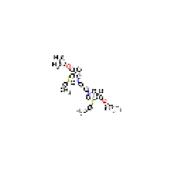 C=Cc1ccc(CSc2ccc(C3(c4ccc(OCC(CC)CCCC)cc4)c4ccccc4-c4ccc(N(c5ccccc5)c5ccc(-c6ccc(N(c7ccccc7)c7ccc8c(c7)C(c7ccc(OCC(CC)CCCC)cc7)(c7ccc(SCc9ccc(C=C)cc9)cc7)c7ccccc7-8)cc6)cc5)cc43)cc2)cc1